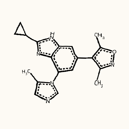 Cc1noc(C)c1-c1cc(-n2cncc2C)c2nc(C3CC3)[nH]c2c1